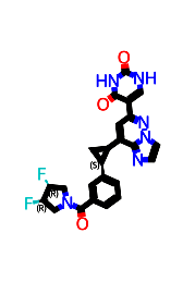 O=C(c1cccc([C@H]2CC2c2cc(-c3c[nH]c(=O)[nH]c3=O)nn3ccnc23)c1)N1C[C@@H](F)[C@H](F)C1